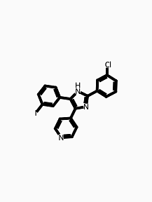 Clc1cccc(-c2nc(-c3ccncc3)c(-c3cccc(I)c3)[nH]2)c1